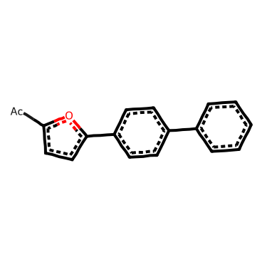 CC(=O)c1ccc(-c2ccc(-c3ccccc3)cc2)o1